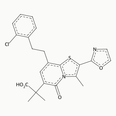 Cc1c(-c2ncco2)sc2c(CCc3ccccc3Cl)cc(C(C)(C)C(=O)O)c(=O)n12